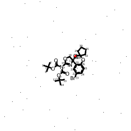 CC(C)(C)OC(=O)N(C(=O)OC(C)(C)C)C1=NC2(CO1)c1cc(Br)ccc1OC1(CCCC1)C21COC1